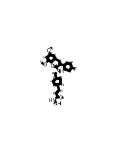 COc1cc(/C=C(\C(=O)NCc2ccc(/C=C/C(=O)NO)cc2)c2ccc(F)cc2)cc(OC)c1